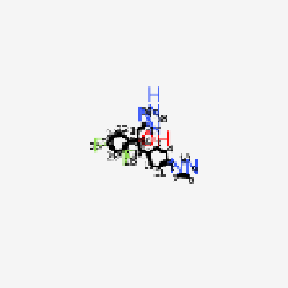 C[C@@H](c1ccc(-n2ccnc2)cc1)[C@](O)(Cc1nc[nH]n1)c1ccc(F)cc1F